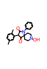 Cc1ccc(C)c(C2C(=O)N(c3ccccc3)C3(CCN(O)CC3)C2=O)c1